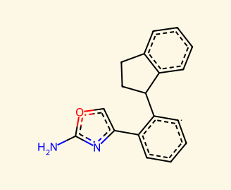 Nc1nc(-c2ccc[c]c2C2CCc3ccccc32)co1